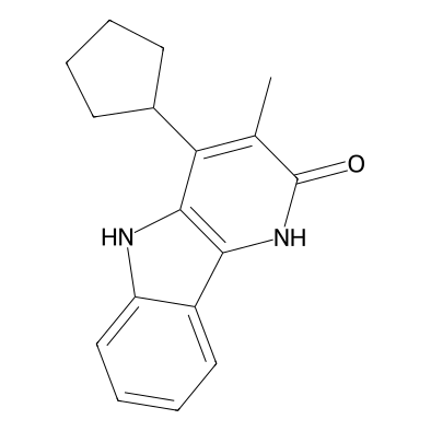 Cc1c(C2CCCC2)c2[nH]c3ccccc3c2[nH]c1=O